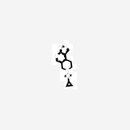 O=S(=O)(C1CC1)N1CCc2c(cnc3[nH]ncc23)C1